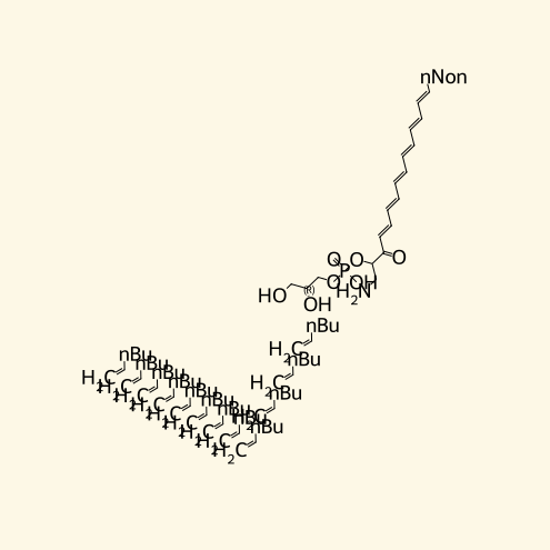 C=CCCCC.C=CCCCC.C=CCCCC.C=CCCCC.C=CCCCC.C=CCCCC.C=CCCCC.C=CCCCC.C=CCCCC.C=CCCCC.C=CCCCC.C=CCCCC.CCCCCCCCCC=CC=CC=CC=CC=CC=CC(=O)C(CN)OP(=O)(O)OC[C@H](O)CO